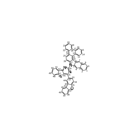 c1ccc2cc3c(cc2c1)c1c2c4ccccc4c4ccccc4c2ccc1n3-c1nc(-c2ccc3oc4ccccc4c3c2)c2sc3ccccc3c2n1